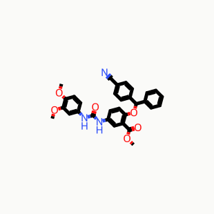 COC(=O)c1cc(NC(=O)Nc2ccc(OC)c(OC)c2)ccc1OC(c1ccccc1)c1ccc(C#N)cc1